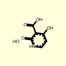 Cl.O=C(O)c1c(O)cc[nH]c1=O